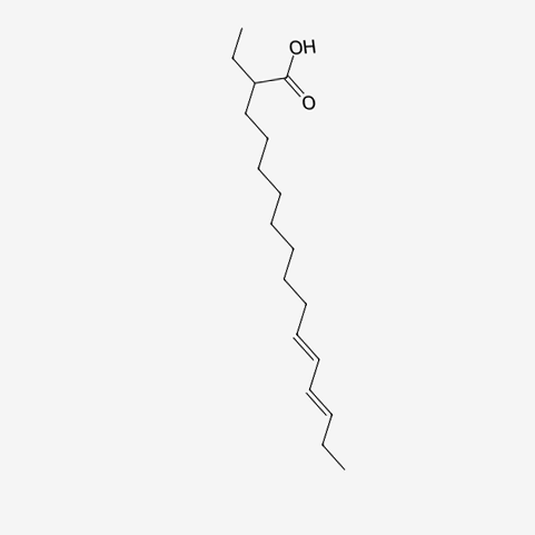 CCC=CC=CCCCCCCCCC(CC)C(=O)O